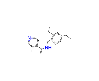 C=C(NCc1ccc(CC)cc1CC)c1ccncc1C